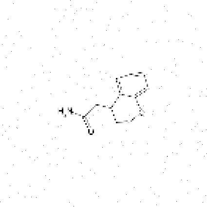 NC(=O)CC1C=COc2ccccc21